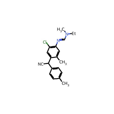 CCN(C)C=Nc1cc(C)c(C(C#N)c2ccc(C)cc2)cc1Cl